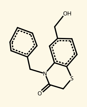 O=C1CSc2ccc(CO)cc2N1Cc1ccccc1